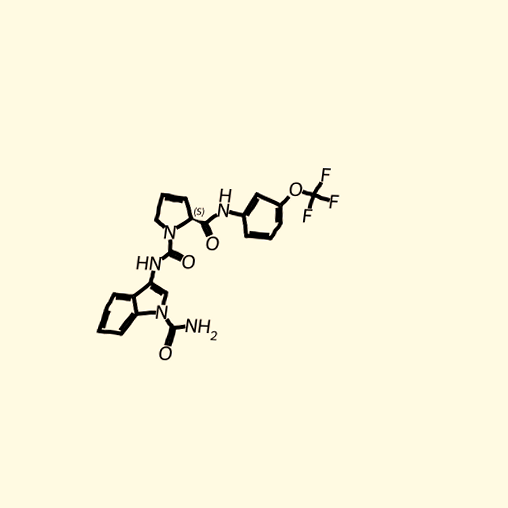 NC(=O)n1cc(NC(=O)N2CC=C[C@H]2C(=O)Nc2cccc(OC(F)(F)F)c2)c2ccccc21